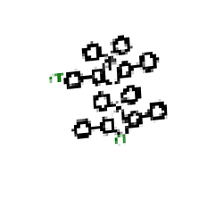 CC1=[C]([Hf]([C]2=C(C)C=C(c3ccccc3)C2)=[Si](c2ccccc2)c2ccccc2)CC(c2ccccc2)=C1.CC1=[C]([Hf]([C]2=C(C)C=C(c3ccccc3)C2)=[Si](c2ccccc2)c2ccccc2)CC(c2ccccc2)=C1.[Cl-].[Cl-]